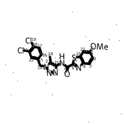 COc1ccc2nc(C(=O)Nc3nnn(Cc4ccc(Cl)c(Cl)c4)c3C)sc2c1